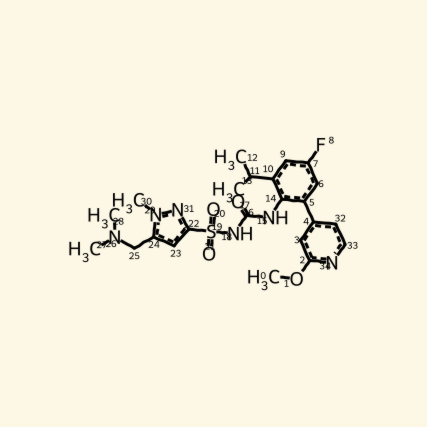 COc1cc(-c2cc(F)cc(C(C)C)c2NC(=O)NS(=O)(=O)c2cc(CN(C)C)n(C)n2)ccn1